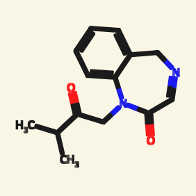 CC(C)C(=O)CN1C(=O)C=NCc2ccccc21